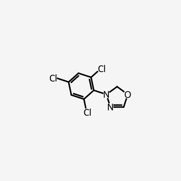 Clc1cc(Cl)c(N2COC=N2)c(Cl)c1